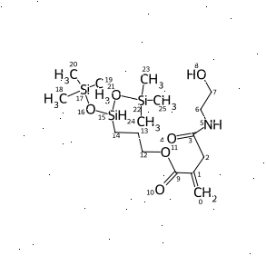 C=C(CC(=O)NCCO)C(=O)OCCC[SiH](O[Si](C)(C)C)O[Si](C)(C)C